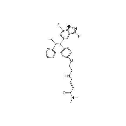 CC/C(=C(/c1ccc(OCCNC/C=C/C(=O)N(C)C)cc1)c1cc(F)c2[nH]nc(F)c2c1)c1ccccc1